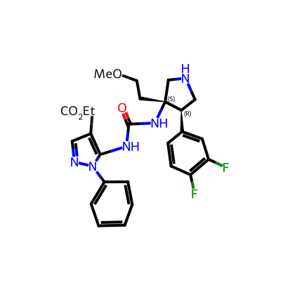 CCOC(=O)c1cnn(-c2ccccc2)c1NC(=O)N[C@]1(CCOC)CNC[C@H]1c1ccc(F)c(F)c1